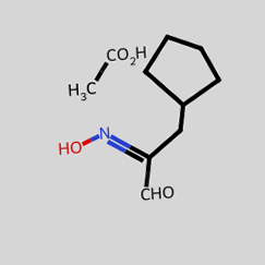 CC(=O)O.O=CC(CC1CCCC1)=NO